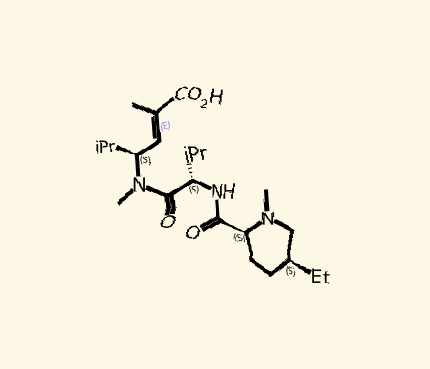 CC[C@H]1CC[C@@H](C(=O)N[C@H](C(=O)N(C)[C@H](/C=C(\C)C(=O)O)C(C)C)C(C)C)N(C)C1